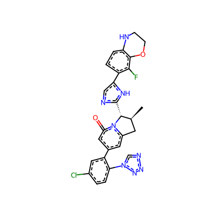 C[C@H]1Cc2cc(-c3cc(Cl)ccc3-n3cnnn3)cc(=O)n2[C@@H]1c1ncc(-c2ccc3c(c2F)OCCN3)[nH]1